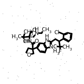 CCNC[C@](C=O)(NC(=O)C1(c2ccc3nc(CC(c4ccccc4Cl)C(C)(C)F)[nH]c3c2)CCOC1)C(C)(C)C